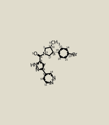 C[C@@H]1CN(C(=O)c2cc(-c3ccnnc3)n[nH]2)C[C@H]1c1ccc(Br)cc1